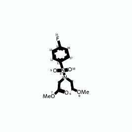 COCCN(CC(=O)OC)S(=O)(=O)c1ccc(F)cc1